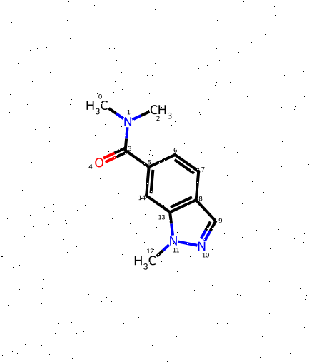 CN(C)C(=O)c1c[c]c2cnn(C)c2c1